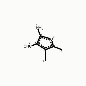 Cc1oc(N)c(C=O)c1C